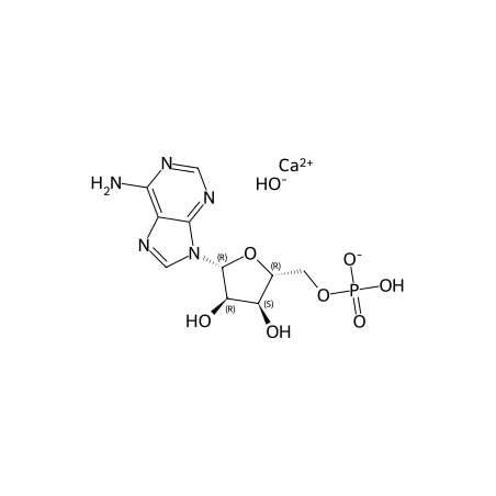 Nc1ncnc2c1ncn2[C@@H]1O[C@H](COP(=O)([O-])O)[C@@H](O)[C@H]1O.[Ca+2].[OH-]